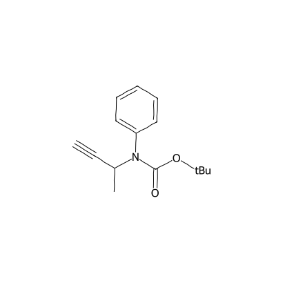 C#CC(C)N(C(=O)OC(C)(C)C)c1ccccc1